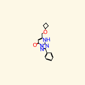 O=c1cc(COC2CCC2)[nH]c2nc(-c3ccccc3)nn12